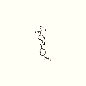 CCNc1ccc(/N=N/c2ccc(C)cc2)cc1